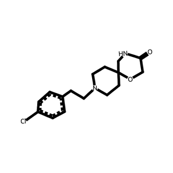 O=C1COC2(CCN(CCc3ccc(Cl)cc3)CC2)CN1